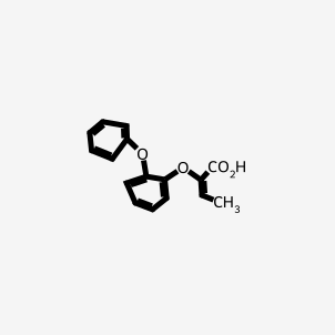 CC=C(Oc1ccccc1Oc1ccccc1)C(=O)O